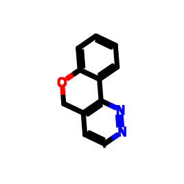 [c]1cc2c(nn1)-c1ccccc1OC2